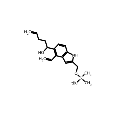 C=CCCC(O)c1ccc2[nH]c(CO[Si](C)(C)C(C)(C)C)cc2c1C=C